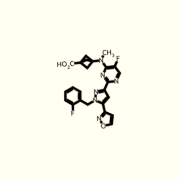 CN(c1nc(-c2cc(-c3ccon3)n(Cc3ccccc3F)n2)ncc1F)C12CC(C(=O)O)(C1)C2